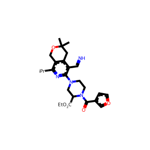 CCOC(=O)C1CN(c2nc(C(C)C)c3c(c2C=N)CC(C)(C)OC3)CCN1C(=O)c1ccoc1